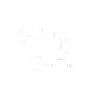 Nc1nc(Nc2ccc(Cl)c(OC(F)(F)F)c2)sc1C(=O)c1ccccc1